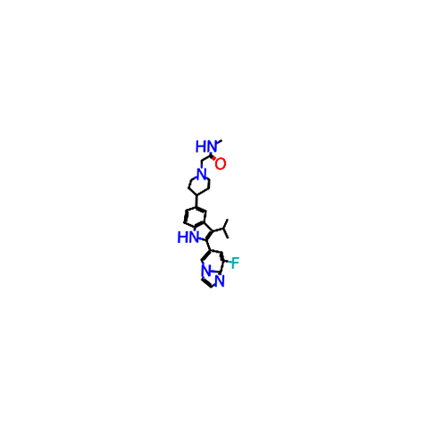 CNC(=O)CN1CCC(c2ccc3[nH]c(-c4cc(F)c5nccn5c4)c(C(C)C)c3c2)CC1